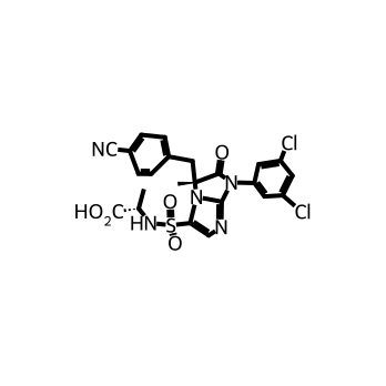 C[C@H](NS(=O)(=O)c1cnc2n1[C@](C)(Cc1ccc(C#N)cc1)C(=O)N2c1cc(Cl)cc(Cl)c1)C(=O)O